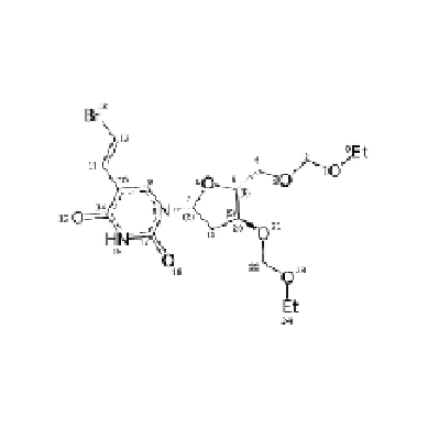 CCOCOC[C@H]1O[C@@H](n2cc(C=CBr)c(=O)[nH]c2=O)C[C@@H]1OCOCC